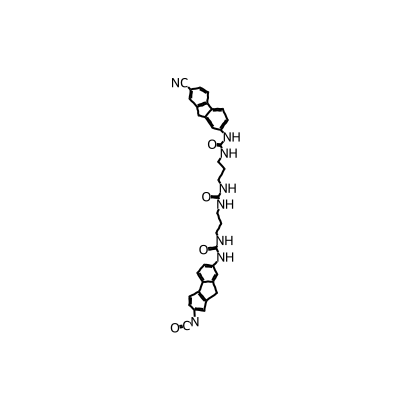 N#Cc1ccc2c(c1)Cc1cc(NC(=O)NCCCNC(=O)NCCCNC(=O)Nc3ccc4c(c3)Cc3cc(N=C=O)ccc3-4)ccc1-2